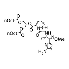 CCCCCCCCC(=O)OCC(COC(=O)CCCCCCCC)OC(=O)C1=CCS[C@H]2C(NC(=O)C(=NOC)c3csc(N)n3)C(=O)N12